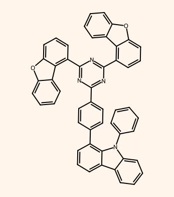 c1ccc(-n2c3ccccc3c3cccc(-c4ccc(-c5nc(-c6cccc7oc8ccccc8c67)nc(-c6cccc7oc8ccccc8c67)n5)cc4)c32)cc1